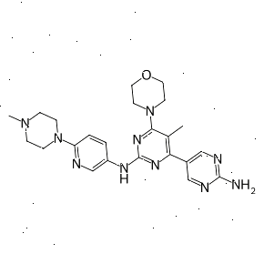 Cc1c(-c2cnc(N)nc2)nc(Nc2ccc(N3CCN(C)CC3)nc2)nc1N1CCOCC1